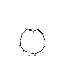 [CH]1C/C=C\C=C\CCCCCCC1